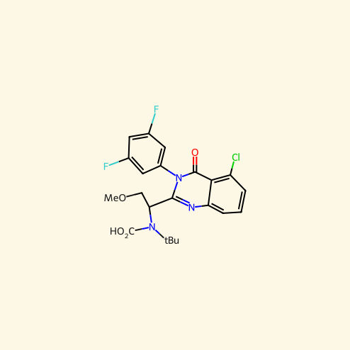 COCC(c1nc2cccc(Cl)c2c(=O)n1-c1cc(F)cc(F)c1)N(C(=O)O)C(C)(C)C